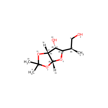 C[C@H](CO)[C@H]1O[C@@H]2OC(C)(C)O[C@@H]2[C@@H]1O